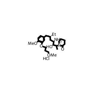 CC[C@@H](Cc1ccc(OC)c(OCCCOC)c1)C[C@H](N)[C@H](O)C(C)N1CCCCC1=O.Cl